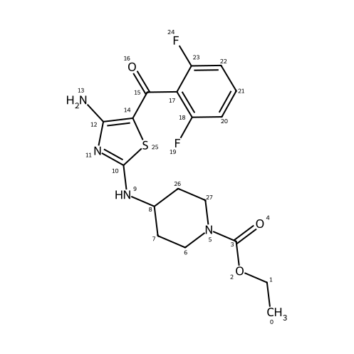 CCOC(=O)N1CCC(Nc2nc(N)c(C(=O)c3c(F)cccc3F)s2)CC1